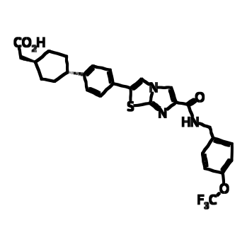 O=C(O)C[C@H]1CC[C@H](c2ccc(-c3cn4cc(C(=O)NCc5ccc(OC(F)(F)F)cc5)nc4s3)cc2)CC1